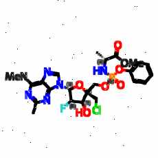 CNc1nc(C)nc2c1ncn2[C@@H]1O[C@](CCl)(CO[P@@](=O)(N[C@H](C)C(=O)OC)Oc2ccccc2)[C@@H](O)[C@H]1F